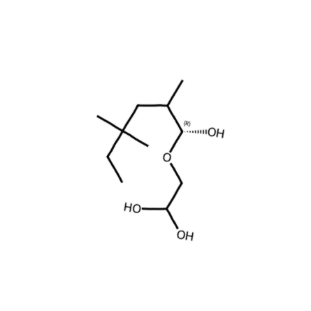 CCC(C)(C)CC(C)[C@H](O)OCC(O)O